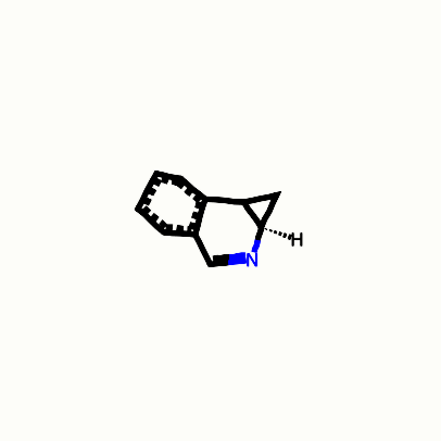 C1=N[C@@H]2CC2c2ccccc21